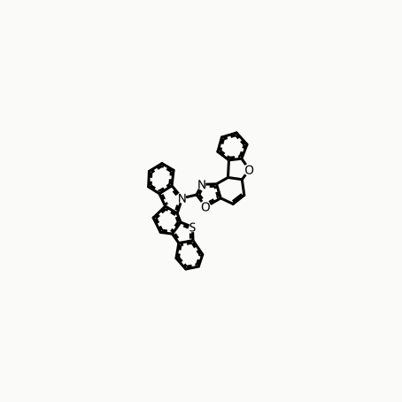 C1=CC2Oc3ccccc3C2c2nc(-n3c4ccccc4c4ccc5c6ccccc6sc5c43)oc21